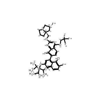 CC(C)[Si](Oc1cc(-c2ccc3c(OCC(F)(F)F)nc(OC[C@@]45CCCN4C[C@H](F)C5)nc3c2F)c2c(Cl)c(F)ccc2c1)(C(C)C)C(C)C